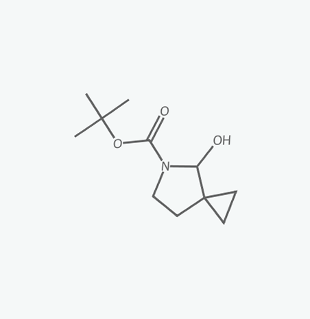 CC(C)(C)OC(=O)N1CCC2(CC2)C1O